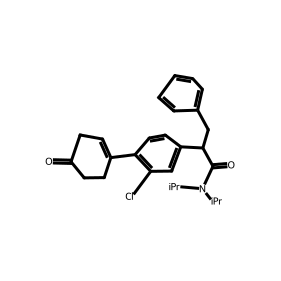 CC(C)N(C(=O)C(Cc1ccccc1)c1ccc(C2=CCC(=O)CC2)c(Cl)c1)C(C)C